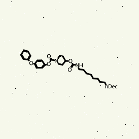 CCCCCCCCCCCCCCCCCCNC(=O)OC1CCN(C(=O)Oc2ccc(Oc3ccccc3)cc2)CC1